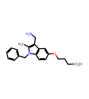 CCOC(=O)CCCOc1ccc2c(c1)c(CN)c(C)n2Cc1ccccc1